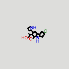 Cc1c(C(C)C(=O)O)c(C2CCCN2)cc2c1[nH]c1ccc(Cl)cc12